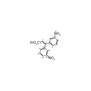 CCOC(=O)C=C(c1cccc([N+](=O)[O-])c1)c1cccc([N+](=O)[O-])c1